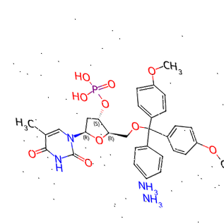 COc1ccc(C(OC[C@H]2O[C@@H](n3cc(C)c(=O)[nH]c3=O)C[C@@H]2OP(=O)(O)O)(c2ccccc2)c2ccc(OC)cc2)cc1.N.N